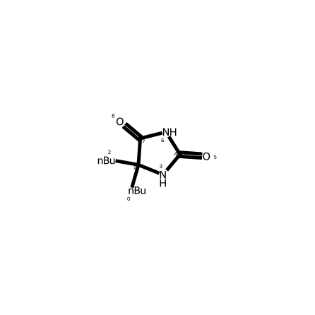 CCCCC1(CCCC)NC(=O)NC1=O